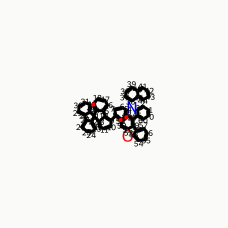 c1ccc(N(c2ccc(-c3cccc4c3-c3ccccc3C43c4ccccc4-c4ccccc43)cc2)c2cccc3ccccc23)c(-c2cccc3oc4ccccc4c23)c1